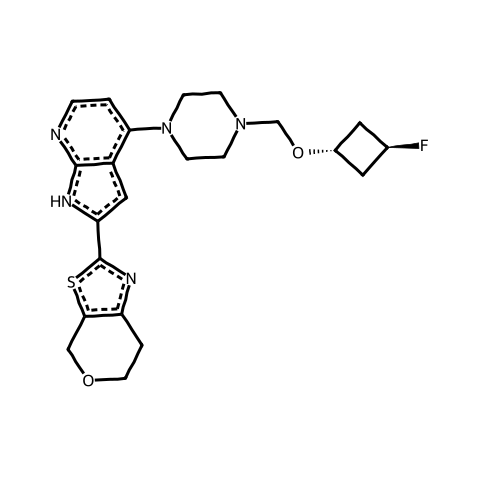 F[C@H]1C[C@H](OCN2CCN(c3ccnc4[nH]c(-c5nc6c(s5)COCC6)cc34)CC2)C1